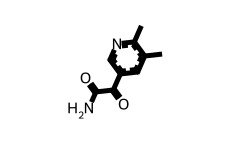 Cc1cc(C(=O)C(N)=O)cnc1C